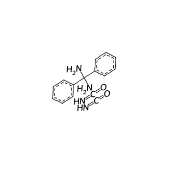 N=C=O.N=C=O.NC(N)(c1ccccc1)c1ccccc1